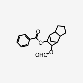 O=COC1C2CC(C3CCCC32)C1OC(=O)c1ccccc1